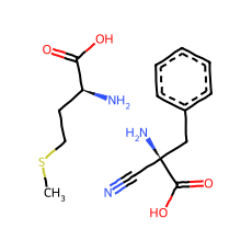 CSCC[C@H](N)C(=O)O.N#C[C@](N)(Cc1ccccc1)C(=O)O